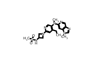 CCc1cc(N2CC(NS(C)(=O)=O)C2)ncc1N(C)c1cc2c(cn1)ncn2C